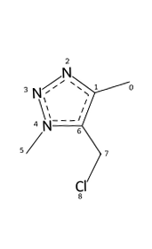 Cc1nnn(C)c1CCl